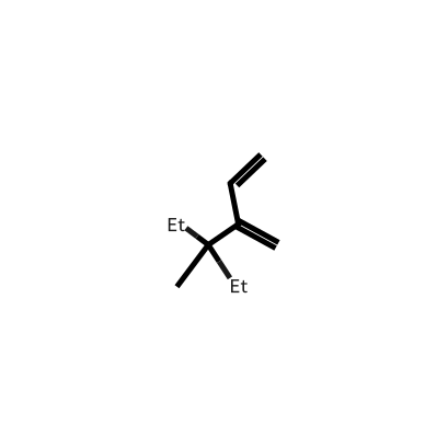 C=CC(=C)C(C)(CC)CC